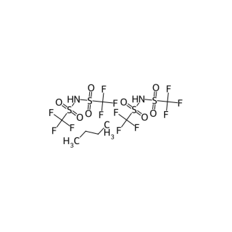 CCCC.O=S(=O)(NS(=O)(=O)C(F)(F)F)C(F)(F)F.O=S(=O)(NS(=O)(=O)C(F)(F)F)C(F)(F)F